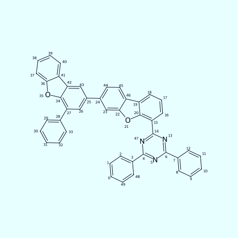 c1ccc(-c2nc(-c3ccccc3)nc(-c3cccc4c3oc3cc(-c5cc(-c6ccccc6)c6oc7ccccc7c6c5)ccc34)n2)cc1